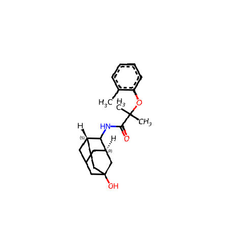 Cc1ccccc1OC(C)(C)C(=O)NC1[C@@H]2CC3C[C@H]1CC(O)(C3)C2